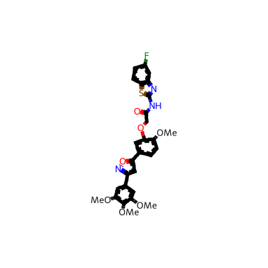 COc1ccc(-c2cc(-c3cc(OC)c(OC)c(OC)c3)no2)cc1OCC(=O)Nc1nc2cc(F)ccc2s1